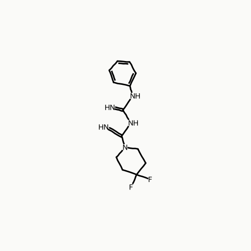 N=C(NC(=N)N1CCC(F)(F)CC1)Nc1ccccc1